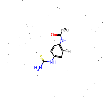 [2H]c1cc(NC(N)=S)ccc1NC(=O)CCCC